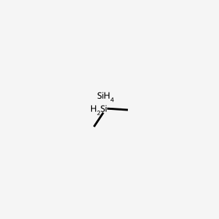 C[SiH2]C.[SiH4]